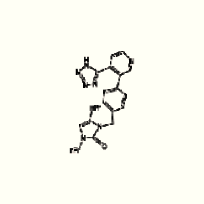 CCCc1cn(CCC)c(=O)n1Cc1ccc(-c2cnccc2-c2nnn[nH]2)cc1